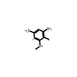 Bc1cc(B)c(C)c(BC)c1